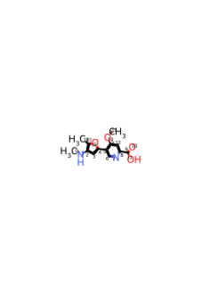 CNc1cc(-c2cnc(C(=O)O)cc2OC)oc1C